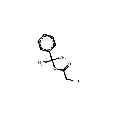 CC(C)(OC(=O)CO)c1ccccc1